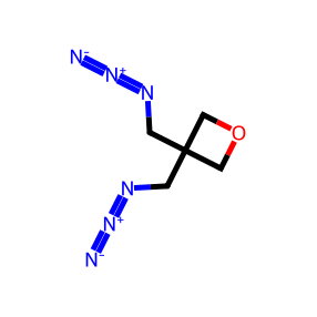 [N-]=[N+]=NCC1(CN=[N+]=[N-])COC1